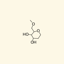 COCC1OCCC(O)C1O